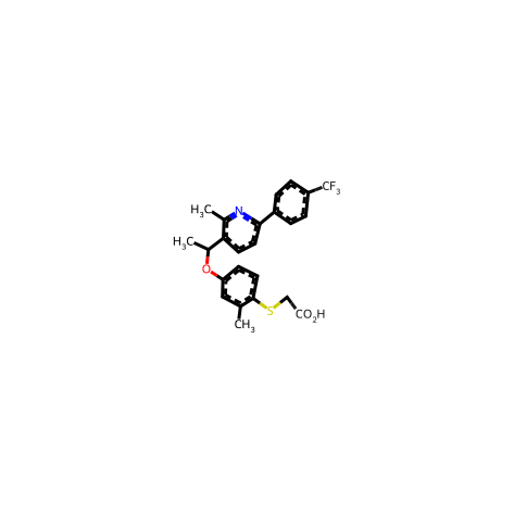 Cc1cc(OC(C)c2ccc(-c3ccc(C(F)(F)F)cc3)nc2C)ccc1SCC(=O)O